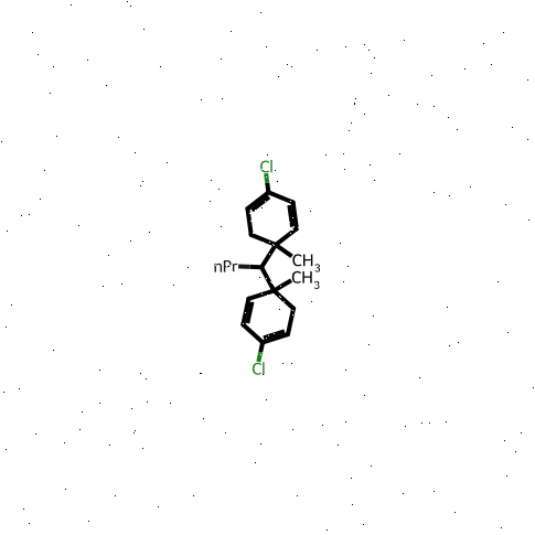 [CH2]CCC(C1(C)C=CC(Cl)=CC1)C1(C)C=CC(Cl)=CC1